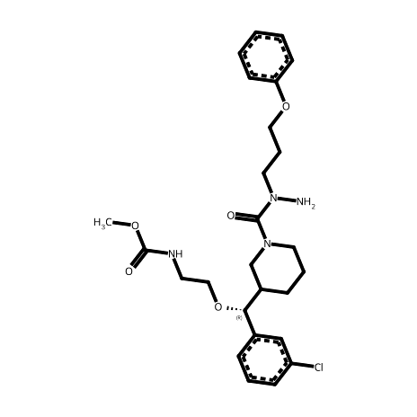 COC(=O)NCCO[C@@H](c1cccc(Cl)c1)C1CCCN(C(=O)N(N)CCCOc2ccccc2)C1